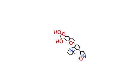 COc1cc(-c2ccc(C3CCc4ccc([C@H](O)[C@H](C)C(=O)O)cc4O3)c(CN3CCCCC3(C)C)c2)ccn1